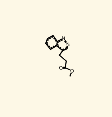 COC(=O)CCc1cnnc2ccccc12